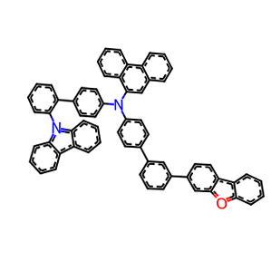 c1cc(-c2ccc(N(c3ccc(-c4ccccc4-n4c5ccccc5c5ccccc54)cc3)c3cc4ccccc4c4ccccc34)cc2)cc(-c2ccc3c(c2)oc2ccccc23)c1